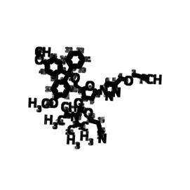 C#CCOCc1cn([C@H]2CC(OP(OCCC#N)N(C(C)C)C(C)C)[C@@H](COC(c3ccccc3)(c3ccc(OC)cc3)c3ccc(OC)cc3)O2)nn1